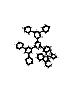 c1ccc(-c2cc(-c3ccccc3)cc(-c3nc(-c4cc(-c5ccccc5)cc(-c5ccccc5)c4)nc(-c4ccc5c(c4)C4(c6ccccc6-c6ccccc64)c4ccsc4-5)n3)c2)cc1